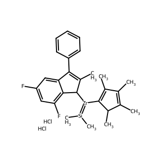 CC1=C(C)C(C)[C]([Zr]([CH]2C(C)=C(c3ccccc3)c3cc(F)cc(F)c32)=[Si](C)C)=C1C.Cl.Cl